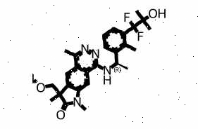 Cc1c([C@@H](C)Nc2nnc(C)c3cc4c(cc23)N(C)C(=O)C4(C)COI)cccc1C(F)(F)C(C)(C)O